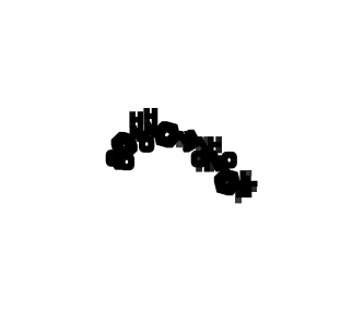 O=C(CNC(=O)c1cccc(C(F)(F)F)c1)NC1CN([C@H]2CC[C@@H](NC(=O)Nc3ccc4c(c3)OCO4)CC2)C1